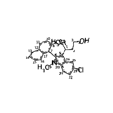 CC(CCO)c1c(-c2c(O)ccc3ccccc23)n(C)c2ccc(Cl)cc12